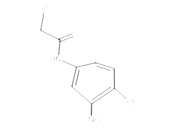 O=C(CCl)Nc1ccc(Cl)c([N+](=O)[O-])c1